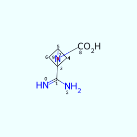 N=C(N)C12CC(C1)N(C(=O)O)C2